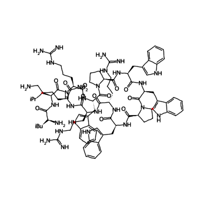 CC[C@H](C)[C@H](N)C(=O)N[C@@H](CC(C)C)C(=O)N[C@@H](CCCNC(=N)N)C(=O)N[C@@H](Cc1c[nH]c2ccccc12)C(=O)N1CCC[C@H]1C(=O)N[C@@H](Cc1c[nH]c2ccccc12)C(=O)N[C@@H](Cc1c[nH]c2ccccc12)C(=O)N1CCC[C@H]1C(=O)N[C@@H](Cc1c[nH]c2ccccc12)C(=O)N[C@@H](CCCNC(=N)N)C(=O)N[C@@H](CCCNC(=N)N)C(=O)N[C@@H](CCCCN)C(N)=O